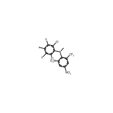 CN(c1c([N+](=O)[O-])cc([N+](=O)[O-])cc1C(F)(F)F)c1c(Cl)c(F)c(I)c(F)c1Cl